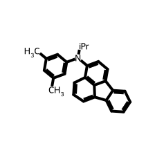 Cc1cc(C)cc(N(c2ccc3c4c(cccc24)-c2ccccc2-3)C(C)C)c1